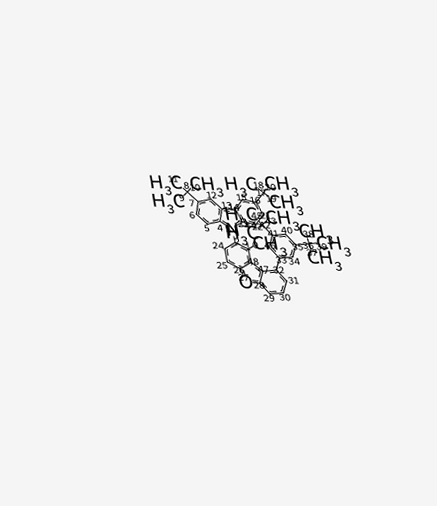 Cc1c(-n2c3ccc(C(C)(C)C)cc3c3cc(C(C)(C)C)ccc32)ccc2oc3cccc(-c4cc(C(C)(C)C)cc(C(C)(C)C)c4)c3c12